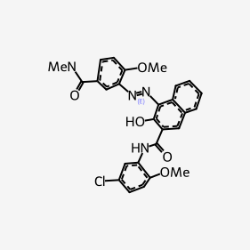 CNC(=O)c1ccc(OC)c(/N=N/c2c(O)c(C(=O)Nc3cc(Cl)ccc3OC)cc3ccccc23)c1